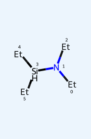 CCN(CC)[SiH](CC)CC